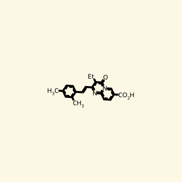 CCc1c(C=Cc2ccc(C)cc2C)nc2ccc(C(=O)O)cn2c1=O